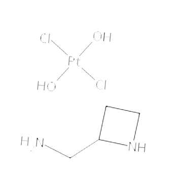 NCC1CCN1.[OH][Pt]([OH])([Cl])[Cl]